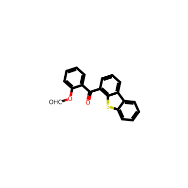 O=COc1ccccc1C(=O)c1cccc2c1sc1ccccc12